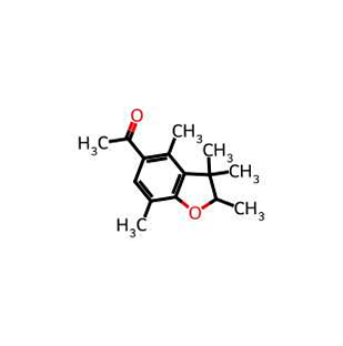 CC(=O)c1cc(C)c2c(c1C)C(C)(C)C(C)O2